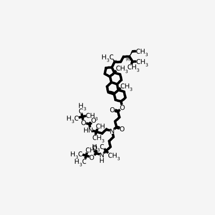 CC[C@H](CC[C@@H](C)C1CCC2C3CC=C4CC(OC(=O)CCC(=O)N(CCCC(C)(C)NC(=O)OC(C)(C)C)CCC(C)(C)NC(=O)OC(C)(C)C)CCC4(C)C3CCC21C)C(C)C